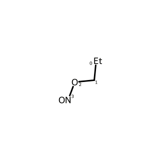 CCCON=O